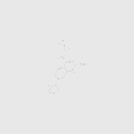 Nc1nc(N[C@H]2CC23CC3)c2ccc(-c3cc[nH]n3)cc2n1